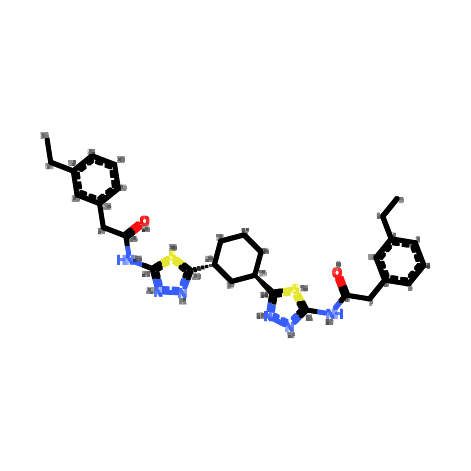 CCc1cccc(CC(=O)Nc2nnc([C@@H]3CCC[C@@H](c4nnc(NC(=O)Cc5cccc(CC)c5)s4)C3)s2)c1